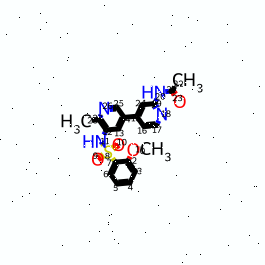 COc1ccccc1S(=O)(=O)Nc1cc(-c2ccnc(NC(C)=O)c2)cnc1C